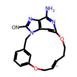 Nc1nc2cc3c1nc(N=O)n3Cc1cccc(c1)OC/C=C/CCO2